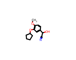 COc1ccc(C(O)C#N)cc1OC1CCCC1